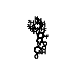 [2H]C1([2H])NC([2H])([2H])C([2H])([2H])N(c2cc3c(c(F)c2F)C(=O)N(C2CCC(=O)NC2=O)C3)C1([2H])[2H]